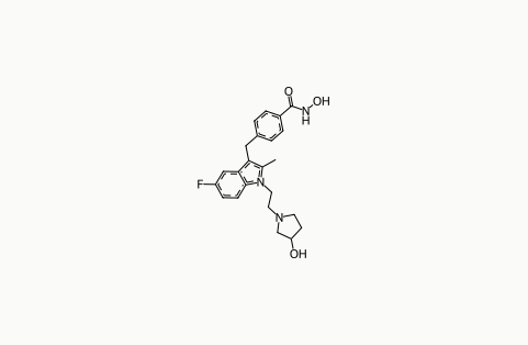 Cc1c(Cc2ccc(C(=O)NO)cc2)c2cc(F)ccc2n1CCN1CCC(O)C1